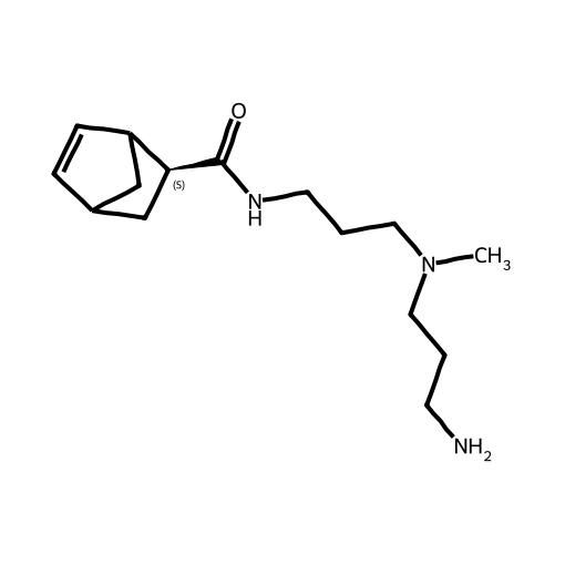 CN(CCCN)CCCNC(=O)[C@H]1CC2C=CC1C2